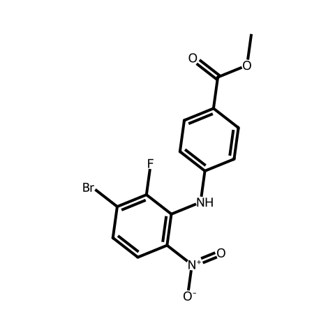 COC(=O)c1ccc(Nc2c([N+](=O)[O-])ccc(Br)c2F)cc1